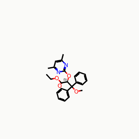 CCOC(=O)[C@@H](Oc1nc(C)cc(C)n1)C(OC)(c1ccccc1)c1ccccc1